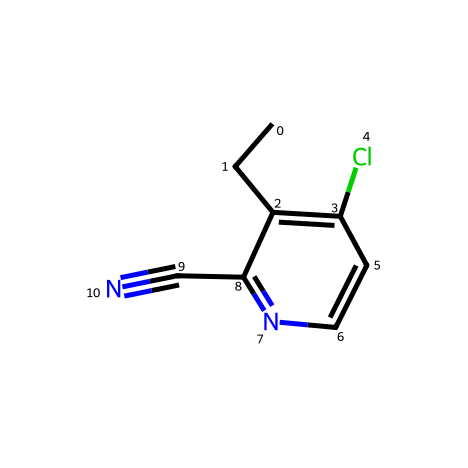 CCc1c(Cl)ccnc1C#N